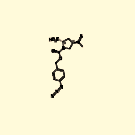 CS(=S)[C@@H]1C[C@@H](C(=O)O)N(C(=O)OCc2ccc(N=[N+]=[N-])cc2)C1